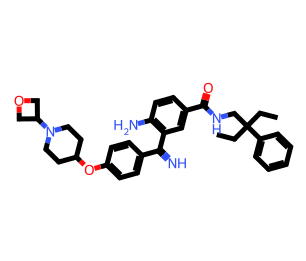 CCC(CC)(CNC(=O)c1ccc(N)c(C(=N)c2ccc(OC3CCN(C4COC4)CC3)cc2)c1)c1ccccc1